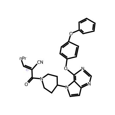 CCC/C=C(\C#N)C(=O)N1CCC(n2ccc3ncnc(Oc4ccc(Oc5ccccc5)cc4)c32)CC1